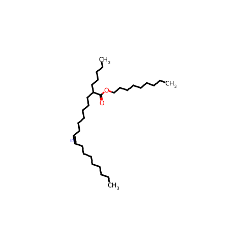 CCCCCCCC/C=C\CCCCCCC(CCCCC)C(=O)OCCCCCCCCC